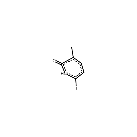 Cc1ccc(I)[nH]c1=O